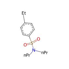 CCCN(CCC)S(=O)(=O)c1ccc(CC)cc1